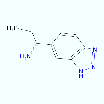 CC[C@@H](N)c1ccc2nn[nH]c2c1